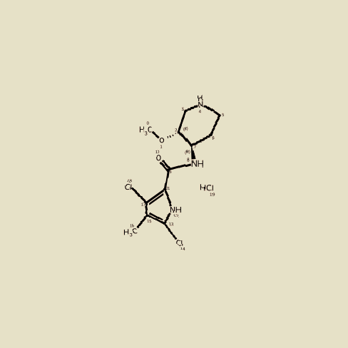 CO[C@@H]1CNCC[C@H]1NC(=O)c1[nH]c(Cl)c(C)c1Cl.Cl